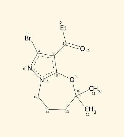 CCC(=O)c1c(Br)nn2c1OC(C)(C)CCC2